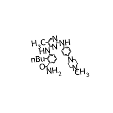 CCCCc1c(Nc2nc(Nc3ccc(N4CCN(C)CC4)cc3)ncc2C)cccc1C(N)=O